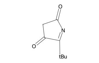 CC(C)(C)C1=NC(=O)CC1=O